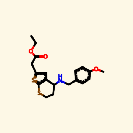 CCOC(=O)Cc1cc2c(s1)SCCC2NCc1ccc(OC)cc1